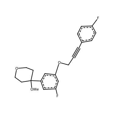 COC1(c2cc(F)cc(OCC#Cc3ccc(F)cc3)c2)CCOCC1